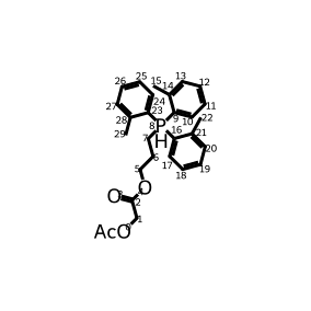 CC(=O)OCC(=O)OCCC[PH](c1ccccc1C)(c1ccccc1C)c1ccccc1C